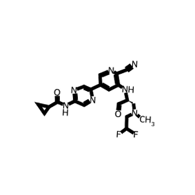 CN(CC(F)F)C[C@H](C=O)Nc1cc(-c2cnc(NC(=O)C3CC3)cn2)cnc1C#N